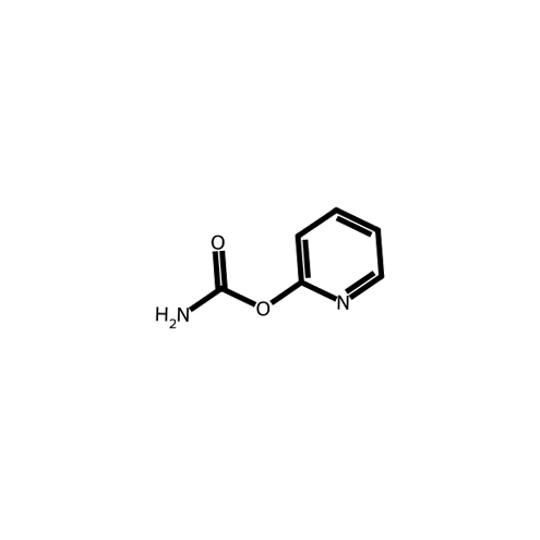 NC(=O)Oc1ccccn1